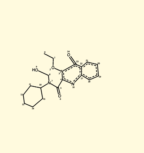 CCOn1c(C(=O)N(CO)C2CCCCC2)nc2ccccc2c1=O